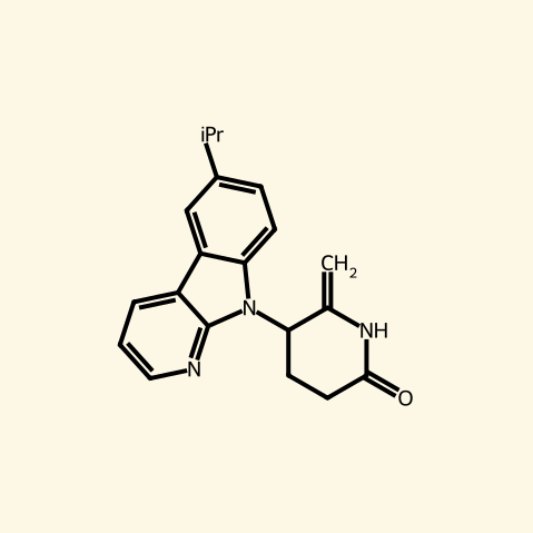 C=C1NC(=O)CCC1n1c2ccc(C(C)C)cc2c2cccnc21